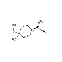 C=C(C)[C@H]1C=CC(C)(OO)CC1